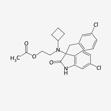 CC(=O)OCCN(C1CCC1)C1(Cc2cccc(Cl)c2)C(=O)Nc2cc(Cl)ccc21